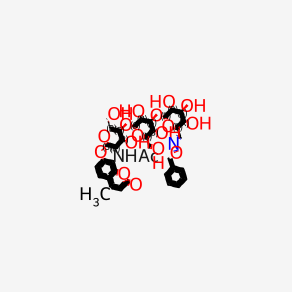 CC(=O)N[C@H]1[C@H](Oc2ccc3c(C)cc(=O)oc3c2)O[C@H](CO)[C@@H](O[C@@H]2O[C@H](CO)[C@H](O)[C@H](O[C@H]3O[C@H](C=NOCc4ccccc4)[C@H](O)[C@H](O)[C@H]3O)[C@H]2O)[C@@H]1O